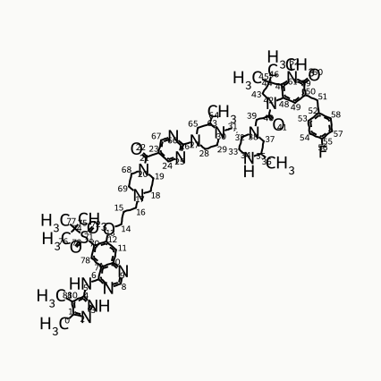 Cc1n[nH]c(Nc2ncnc3cc(OCCCN4CCN(C(=O)c5cnc(N6CCN(C[C@H]7CN[C@H](C)CN7CC(=O)N7CC(C)(C)c8c7cc(Cc7ccc(F)cc7)c(=O)n8C)[C@H](C)C6)nc5)CC4)c(S(=O)(=O)C(C)(C)C)cc23)c1C